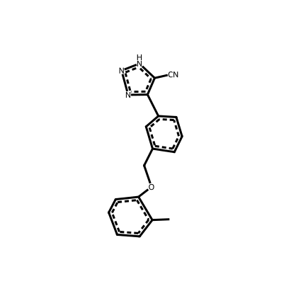 Cc1ccccc1OCc1cccc(-c2nn[nH]c2C#N)c1